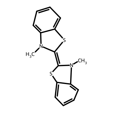 CN1/C(=C2\Sc3ccccc3N2C)Sc2ccccc21